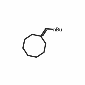 CCCC[C]=C1CCCCCCC1